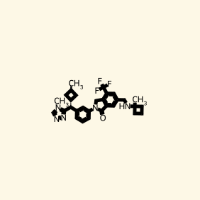 Cn1cnnc1C(c1cccc(N2Cc3c(cc(CNC4(C)CCC4)cc3C(F)(F)F)C2=O)c1)[C@H]1C[C@H](C)C1